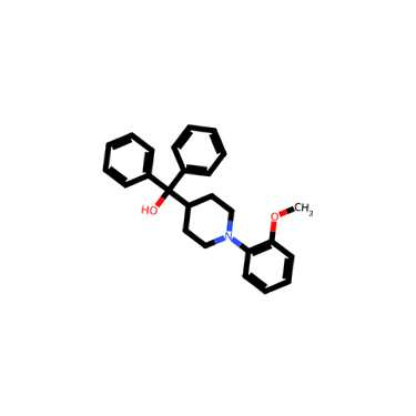 COc1ccc[c]c1N1CCC(C(O)(c2ccccc2)c2ccccc2)CC1